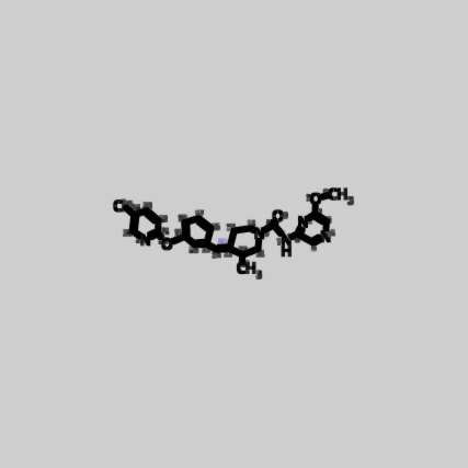 COc1cncc(NC(=O)N2CC/C(=C\c3cccc(Oc4ccc(Cl)cn4)c3)C(C)C2)n1